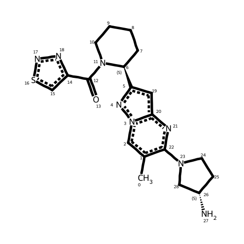 Cc1cn2nc([C@@H]3CCCCN3C(=O)c3csnn3)cc2nc1N1CC[C@H](N)C1